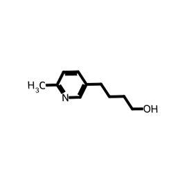 Cc1ccc(CCCCO)cn1